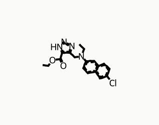 CCOC(=O)c1[nH]nnc1CN(CC)c1ccc2cc(Cl)ccc2c1